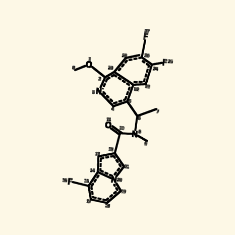 COc1ncc(C(C)N(C)C(=O)c2cc3c(F)cccn3c2)c2cc(F)c(F)cc12